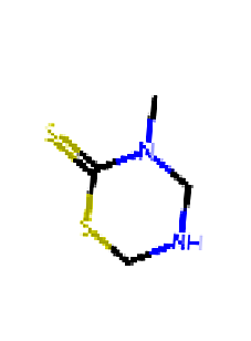 CN1CNCSC1=S